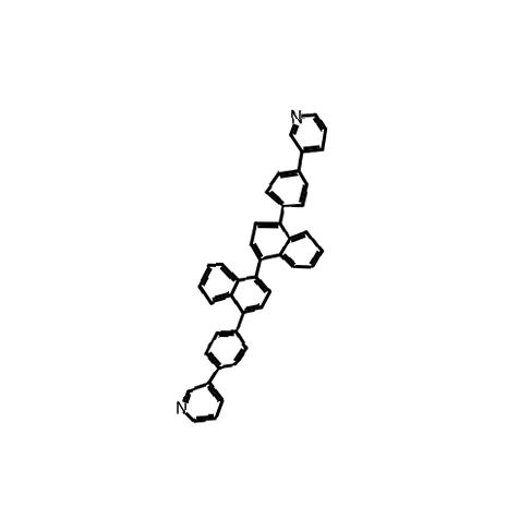 c1cncc(-c2ccc(-c3ccc(-c4ccc(-c5ccc(-c6cccnc6)cc5)c5ccccc45)c4ccccc34)cc2)c1